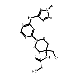 Cn1cc(Nc2nccc(N3CCC(CC#N)(NC(=O)CC#N)CC3)n2)cn1